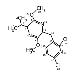 COC1=NC(C(C)C)C(OC)=NC1Cc1ccc(Cl)nc1Cl